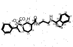 CC(c1ccccc1)[N+]([O-])(C(=O)O)N1CCCC(C(=O)NCCNc2nsc3ccccc23)C1